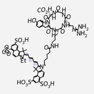 CCN1\C(=C/C=C/C=C/C2=[N+](CCCCCC(=O)NCCCC[C@@H]3NC(=O)[C@@H](Cc4ccc(O)cc4)NC(=O)[C@H](CC(=O)O)NC(=O)CNC(=O)[C@H](CCCN=C(N)N)NC3=O)c3ccc4c(S(=O)(=O)O)cc(S(=O)(=O)O)cc4c3C2(C)C)C(C)(C)c2c1ccc1c(S(=O)(=O)[O-])cc(S(=O)(=O)O)cc21